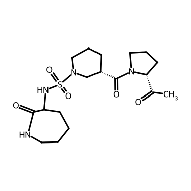 CC(=O)[C@H]1CCCN1C(=O)[C@H]1CCCN(S(=O)(=O)NC2CCCCNC2=O)C1